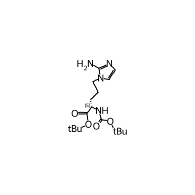 CC(C)(C)OC(=O)N[C@@H](CCCn1ccnc1N)C(=O)OC(C)(C)C